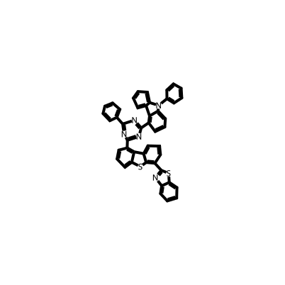 c1ccc(-c2nc(-c3cccc4sc5c(-c6nc7ccccc7s6)cccc5c34)nc(-c3cccc4c3c3ccccc3n4-c3ccccc3)n2)cc1